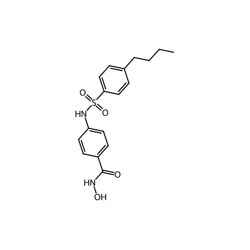 CCCCc1ccc(S(=O)(=O)Nc2ccc(C(=O)NO)cc2)cc1